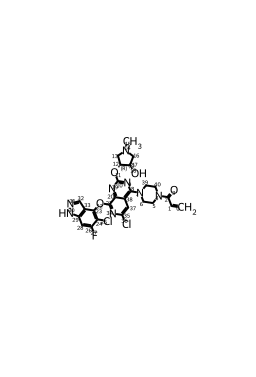 C=CC(=O)N1CCN(c2nc(O[C@@H]3CN(C)C[C@H]3O)nc3c(Oc4c(Cl)c(F)cc5[nH]ncc45)nc(Cl)cc23)CC1